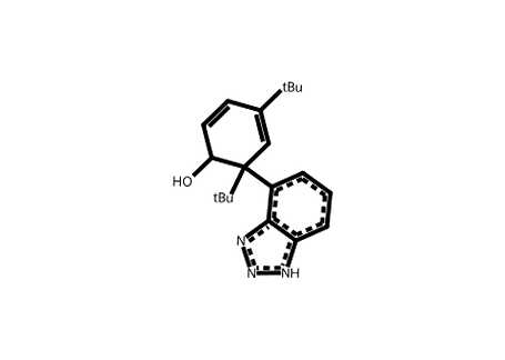 CC(C)(C)C1=CC(c2cccc3[nH]nnc23)(C(C)(C)C)C(O)C=C1